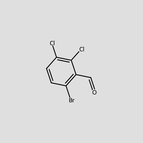 O=Cc1c(Br)ccc(Cl)c1Cl